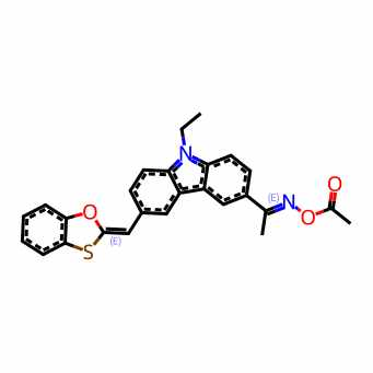 CCn1c2ccc(/C=C3\Oc4ccccc4S3)cc2c2cc(/C(C)=N/OC(C)=O)ccc21